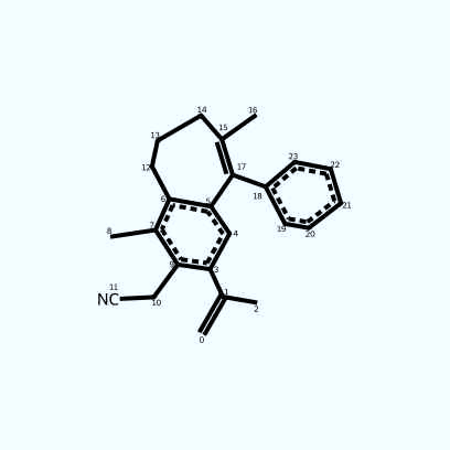 C=C(C)c1cc2c(c(C)c1CC#N)CCCC(C)=C2c1ccccc1